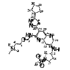 C[Si](C)(C)CCOCNc1nc2cc(NC3CCN(S(C)(=O)=O)C3)cnc2cc1-c1nnc(C2CCCC2)s1